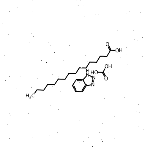 CCCCCCCCCCCCCCCC(=O)O.O=C(O)O.c1ccc2[nH]nnc2c1